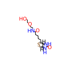 O=C(CCCC[C@@H]1SC[C@@H]2NC(=O)N[C@@H]21)NCCOCCO